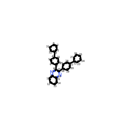 c1ccc(-c2ccc(-c3nc4ccccc4nc3-c3ccc(-c4ccccc4)cc3)cc2)cc1